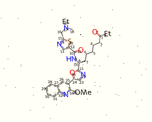 CCC(=O)CCCCC[C@H](NC(=O)c1cnc(CN(C)CC)s1)c1ncc(-c2cc3ccccc3nc2OC)o1